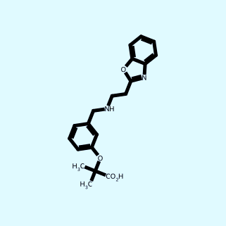 CC(C)(Oc1cccc(CNCCc2nc3ccccc3o2)c1)C(=O)O